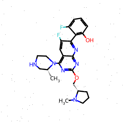 C[C@@H]1CNCCN1c1nc(OC[C@@H]2CCCN2C)nc2nc(-c3c(O)cccc3F)c(F)cc12